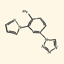 CC(C)c1ccc(-n2cnnn2)cc1-n1cccn1